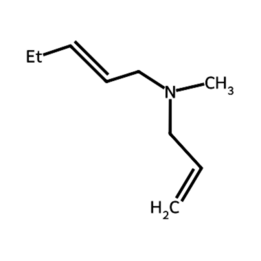 C=CCN(C)CC=CCC